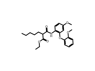 CCCCCC(C(=O)Nc1ccc(OC)cc1Oc1ccccc1OC)C(=O)OCC